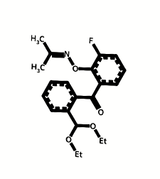 CCOC(OCC)c1ccccc1C(=O)c1cccc(F)c1ON=C(C)C